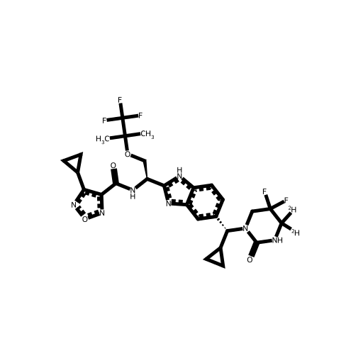 [2H]C1([2H])NC(=O)N([C@@H](c2ccc3[nH]c([C@H](COC(C)(C)C(F)(F)F)NC(=O)c4nonc4C4CC4)nc3c2)C2CC2)CC1(F)F